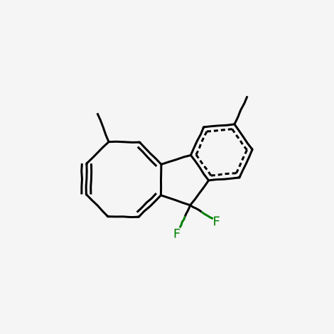 Cc1ccc2c(c1)C1=C/C(C)C#CC/C=C\1C2(F)F